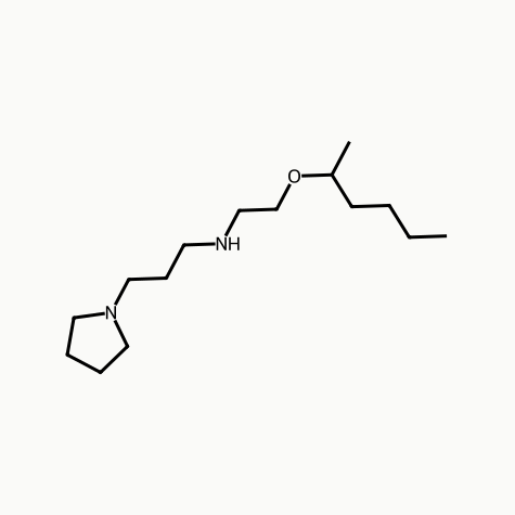 CCCCC(C)OCCNCCCN1CCCC1